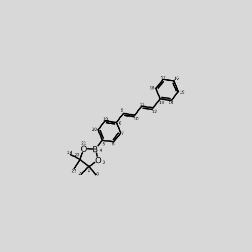 CC1(C)OB(c2ccc(C=CC=Cc3ccccc3)cc2)OC1(C)C